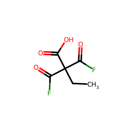 CCC(C(=O)O)(C(=O)F)C(=O)F